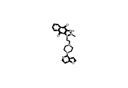 Cn1[nH]c2c(=O)c3ccccc3c(=O)c=2n1CCN1CCN(c2nccc3occc23)CC1